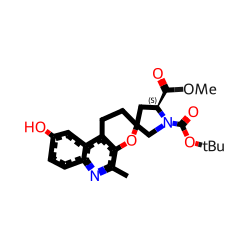 COC(=O)[C@@H]1CC2(CCc3c(c(C)nc4ccc(O)cc34)O2)CN1C(=O)OC(C)(C)C